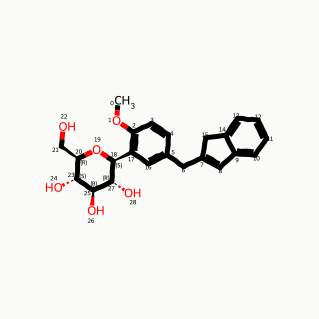 COc1ccc(CC2=Cc3ccccc3C2)cc1[C@@H]1O[C@H](CO)[C@@H](O)[C@H](O)[C@H]1O